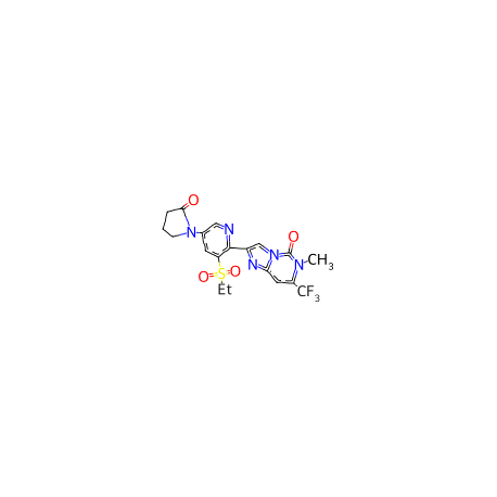 CCS(=O)(=O)c1cc(N2CCCC2=O)cnc1-c1cn2c(=O)n(C)c(C(F)(F)F)cc2n1